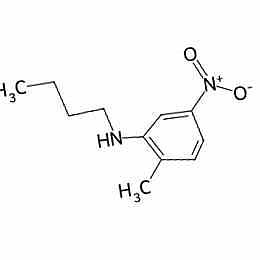 CCCCNc1cc([N+](=O)[O-])ccc1C